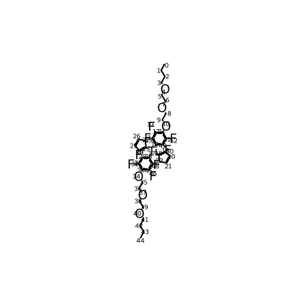 CCCCOCCOCCOc1c(F)c(F)[c]([Ti]([C]2=CC=CC2)([C]2=CC=CC2)[c]2c(F)c(F)c(OCCOCCOCCCC)c(F)c2F)c(F)c1F